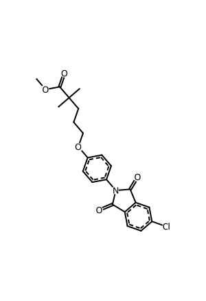 COC(=O)C(C)(C)CCCOc1ccc(N2C(=O)c3ccc(Cl)cc3C2=O)cc1